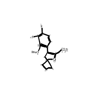 CCOC(=O)C1=C(c2ccc(F)c(F)c2OC)CC2(CCC2)O1